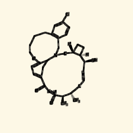 C[C@@H]1[C@@H](C)C/C=C/[C@H](O)[C@@H]2CC[C@H]2CN2Cc3ccc(Cl)cc3CCCCOC3=CC=C(CC32)C(=O)/N=[SH]\1=O